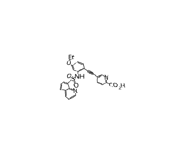 CCOc1ccc(C#Cc2ccc(C(=O)O)nc2)c(NS(=O)(=O)c2cccc3cccnc23)c1